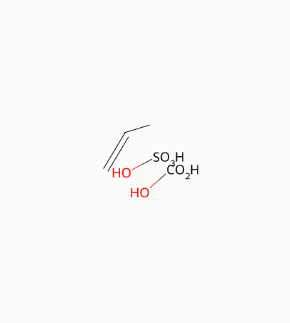 C=CC.O=C(O)O.O=S(=O)(O)O